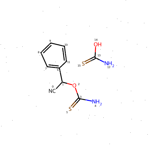 N#CC(OC(N)=S)c1ccccc1.NC(O)=S